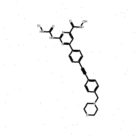 CCNC(=O)Nc1nc(C(=O)NO)cc(-c2ccc(C#Cc3ccc(CN4CCOCC4)cc3)cc2)n1